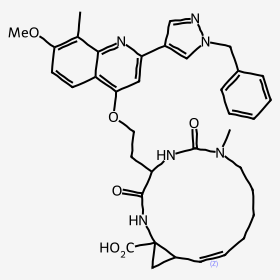 COc1ccc2c(OCCC3NC(=O)N(C)CCCC/C=C\C4CC4(C(=O)O)NC3=O)cc(-c3cnn(Cc4ccccc4)c3)nc2c1C